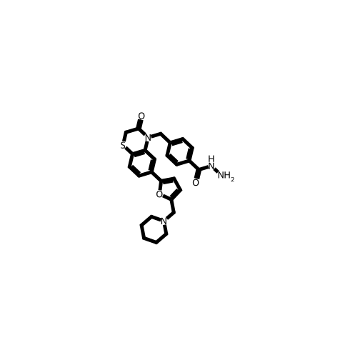 NNC(=O)c1ccc(CN2C(=O)CSc3ccc(-c4ccc(CN5CCCCC5)o4)cc32)cc1